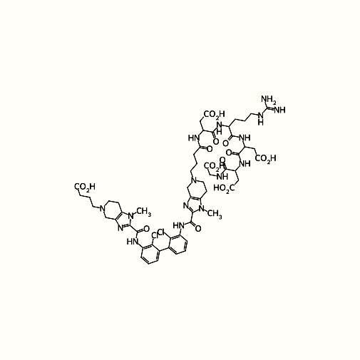 Cn1c(C(=O)Nc2cccc(-c3cccc(NC(=O)c4nc5c(n4C)CCN(CCCC(=O)NC(CC(=O)O)C(=O)NC(CCCNC(=N)N)C(=O)NC(CC(=O)O)C(=O)NC(CC(=O)O)C(=O)NCC(=O)O)C5)c3Cl)c2Cl)nc2c1CCN(CCCC(=O)O)C2